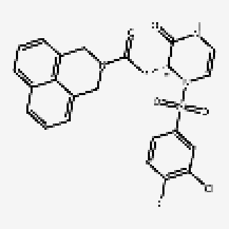 O=C1NC=CN(S(=O)(=O)c2ccc(Cl)c(Cl)c2)[C@@H]1CC(=O)N1Cc2cccc3cccc(c23)C1